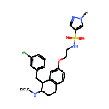 CCOC(=O)NC1CCc2ccc(OCCNS(=O)(=O)c3cnn(CC)c3)cc2C1Cc1cccc(Cl)c1